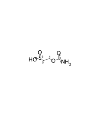 NC(=O)OCCS(=O)O